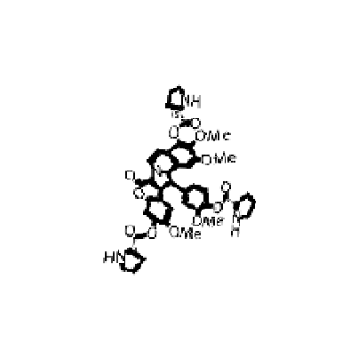 COc1cc(C2c3c(c(=O)oc4cc(OC(=O)[C@@H]5CCCN5)c(OC)cc34)N3C=Cc4c(cc(OC)c(OC)c4OC(=O)[C@@H]4CCCN4)C23)ccc1OC(=O)[C@@H]1CCCN1